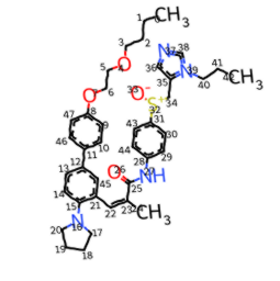 CCCCOCCOc1ccc(-c2ccc(N3CCCC3)c(C=C(C)C(=O)Nc3ccc([S+]([O-])Cc4cncn4CCC)cc3)c2)cc1